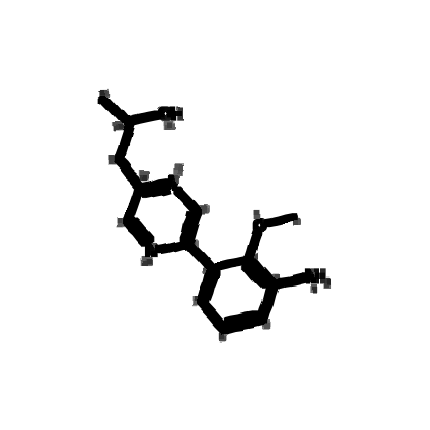 COc1c(N)cccc1-c1cnc(CC(C)O)cn1